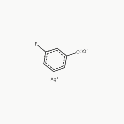 O=C([O-])c1cccc(F)c1.[Ag+]